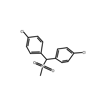 CS(=O)(=O)C(c1ccc(Cl)cc1)c1ccc(Cl)cc1